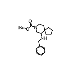 CC(C)(C)OC(=O)N1CCC2(CCCC2)C(NCc2ccccc2)C1